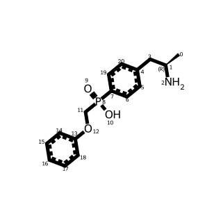 C[C@@H](N)Cc1ccc(P(=O)(O)COc2ccccc2)cc1